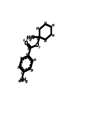 Nc1ccc(C(=O)OC2(N)CCCCC2)cc1